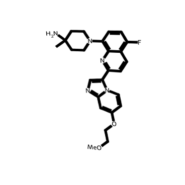 COCCOc1ccn2c(-c3ccc4c(F)ccc(N5CCC(C)(N)CC5)c4n3)cnc2c1